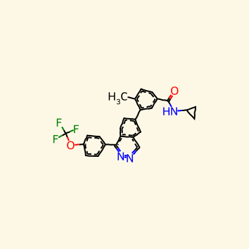 Cc1ccc(C(=O)NC2CC2)cc1-c1ccc2c(-c3ccc(OC(F)(F)F)cc3)nncc2c1